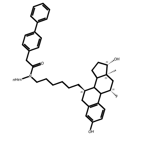 CCCCCCN(CCCCCC[C@@H]1Cc2cc(O)ccc2C2C1C1CC[C@H](O)[C@@]1(C)C[C@@H]2F)C(=O)Cc1ccc(-c2ccccc2)cc1